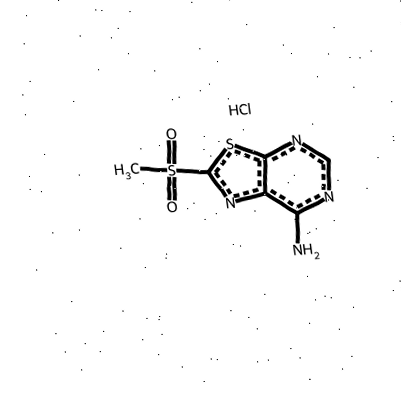 CS(=O)(=O)c1nc2c(N)ncnc2s1.Cl